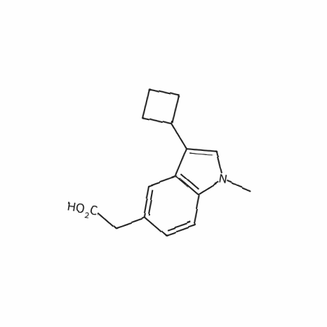 Cn1cc(C2CCC2)c2cc(CC(=O)O)ccc21